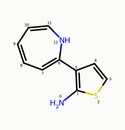 Nc1sccc1C1=CC=CC=CN1